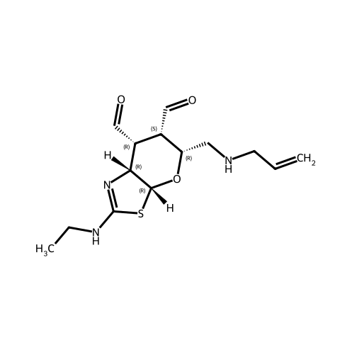 C=CCNC[C@@H]1O[C@@H]2SC(NCC)=N[C@@H]2[C@H](C=O)[C@@H]1C=O